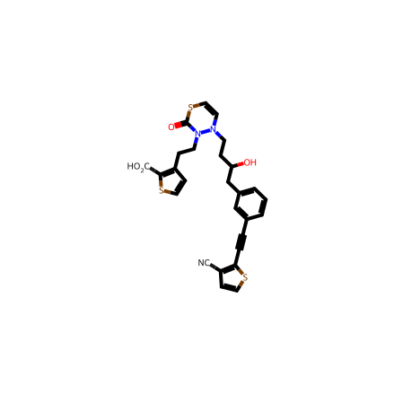 N#Cc1ccsc1C#Cc1cccc(CC(O)CCN2C=CSC(=O)N2CCc2ccsc2C(=O)O)c1